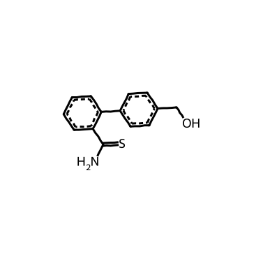 NC(=S)c1ccccc1-c1ccc(CO)cc1